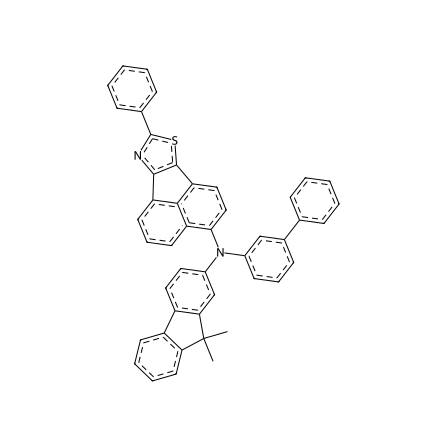 CC1(C)c2ccccc2-c2ccc(N(c3cccc(-c4ccccc4)c3)c3ccc4c5c(cccc35)-c3nc(-c5ccccc5)sc3-4)cc21